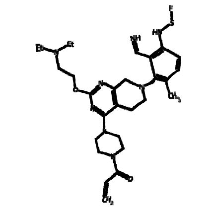 C=CC(=O)N1CCN(c2nc(OCCN(CC)CC)nc3c2CCN(c2c(C)ccc(NSF)c2C=N)C3)CC1